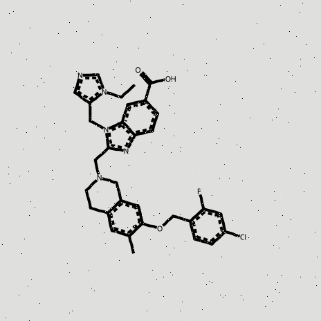 CCn1cncc1Cn1c(CN2CCc3cc(C)c(OCc4ccc(Cl)cc4F)cc3C2)nc2ccc(C(=O)O)cc21